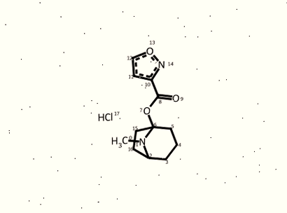 CN1C2CCCC1(OC(=O)c1ccon1)CC2.Cl